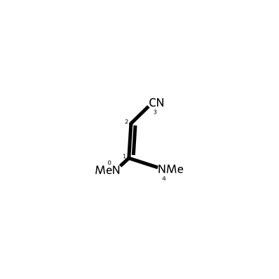 CNC(=CC#N)NC